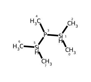 C[SiH](C)P(C)[SiH](C)C